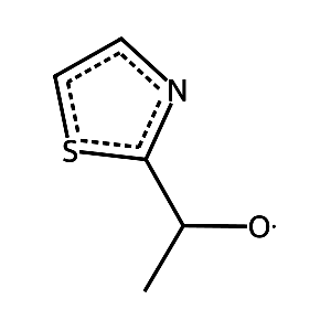 CC([O])c1nccs1